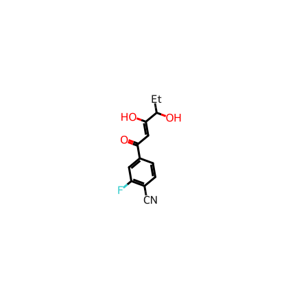 CCC(O)/C(O)=C/C(=O)c1ccc(C#N)c(F)c1